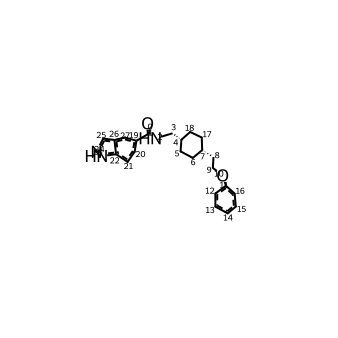 O=C(NC[C@H]1CC[C@@H](CCOc2ccccc2)CC1)c1ccc2[nH]ncc2c1